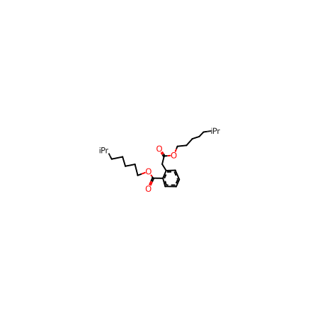 CC(C)CCCCCOC(=O)Cc1ccccc1C(=O)OCCCCCC(C)C